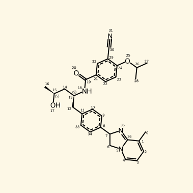 CC1=CC=CN2CC(c3ccc(C[C@@H](C[C@H](C)O)NC(=O)c4ccc(OC(C)C)c(C#N)c4)cc3)N=C12